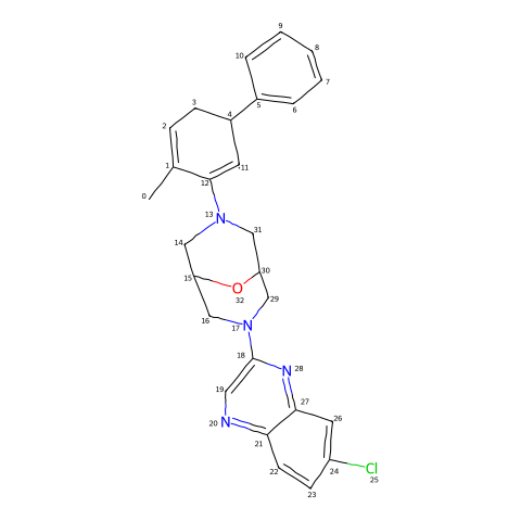 CC1=CCC(c2ccccc2)[C]=C1N1CC2CN(c3cnc4ccc(Cl)cc4n3)CC(C1)O2